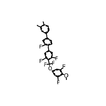 COc1c(F)cc(OC(F)(F)c2c(F)cc(-c3ccc(-c4ccc(C)c(C)c4)cc3F)cc2F)cc1F